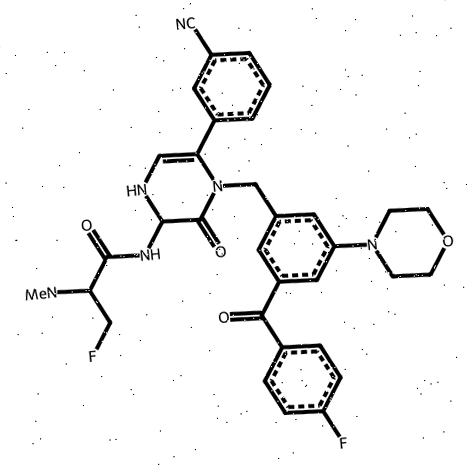 CNC(CF)C(=O)NC1NC=C(c2cccc(C#N)c2)N(Cc2cc(C(=O)c3ccc(F)cc3)cc(N3CCOCC3)c2)C1=O